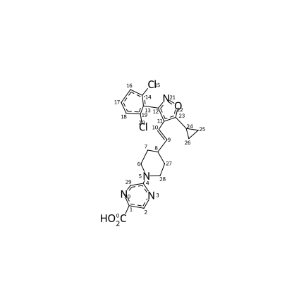 O=C(O)c1cnc(N2CCC(C=Cc3c(-c4c(Cl)cccc4Cl)noc3C3CC3)CC2)cn1